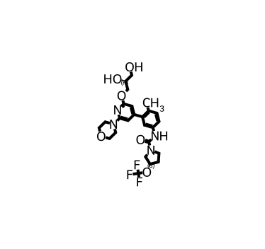 Cc1ccc(NC(=O)N2CC[C@H](OC(F)(F)F)C2)cc1-c1cc(OC[C@H](O)CO)nc(N2CCOCC2)c1